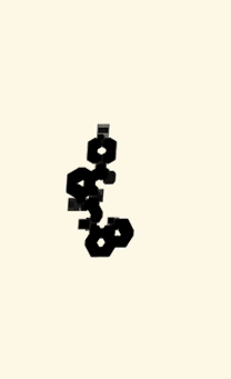 CN(Cc1nc2c(C(=O)N3CCNCC3)cccc2[nH]1)C1CCCc2cccnc21